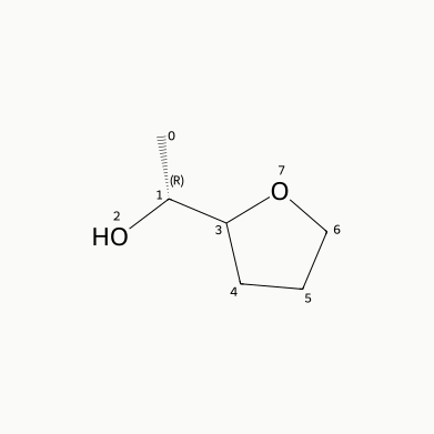 C[C@@H](O)C1CCCO1